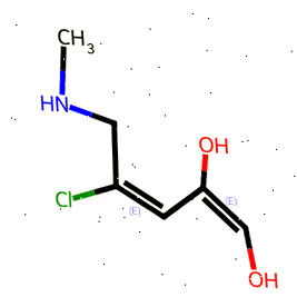 CNC/C(Cl)=C\C(O)=C/O